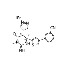 CC(C)n1cc([C@H]2C(=O)N(C)C(=N)N[C@]2(C)c2cc(-c3cccc(C#N)c3)cs2)cn1